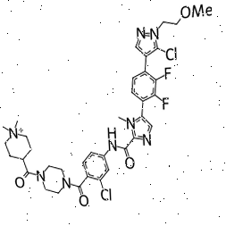 COCCn1ncc(-c2ccc(-c3cnc(C(=O)Nc4ccc(C(=O)N5CCN(C(=O)C6CC[N+](C)(C)CC6)CC5)c(Cl)c4)n3C)c(F)c2F)c1Cl